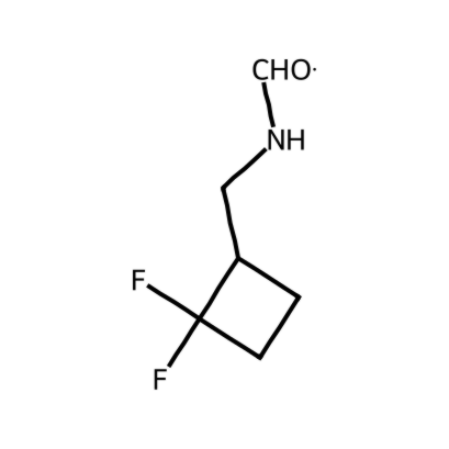 O=[C]NCC1CCC1(F)F